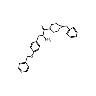 N[C@@H](Cc1ccc(OCc2ccccc2)cc1)C(=O)N1CCN(Cc2ccccc2)CC1